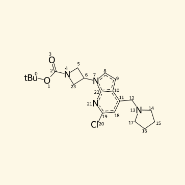 CC(C)(C)OC(=O)N1CC(n2ccc3c(CN4CCCC4)cc(Cl)nc32)C1